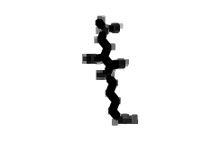 CCCCCCCCCCCCNC(=O)C(O)CC[S+](C)[O-]